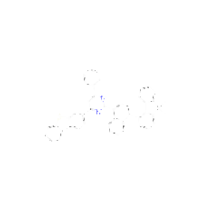 CC1(C)c2ccccc2-c2c(-c3ccc(-c4nc(-c5ccccc5)cc(-c5ccc6c(c5)sc5ccccc56)n4)c4ccccc34)cccc21